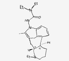 CCN(CC)C(=O)Nn1c(C)c2c3c(cccc31)[C@H]1CCCN(CC)[C@@H]1C2